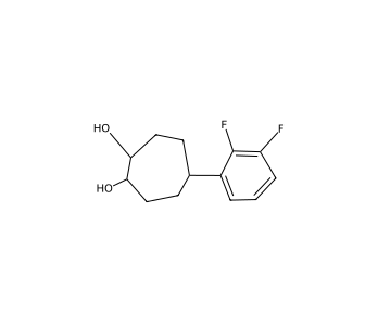 OC1CCC(c2cccc(F)c2F)CCC1O